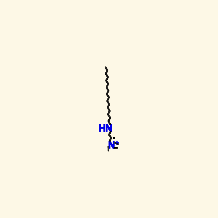 CCCCCCCCCCCCCCCCCCNCC[CH]C[N+](CC)(CC)CC